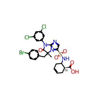 C[C@@]1(Cc2ccc(Br)cc2)C(=O)N(c2cc(Cl)cc(Cl)c2)c2ncc(S(=O)(=O)NC3CC=CC[C@@H]3C(=O)O)n21